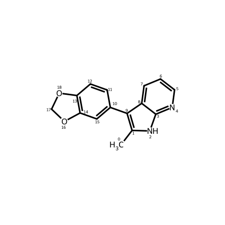 Cc1[nH]c2ncccc2c1-c1ccc2c(c1)OCO2